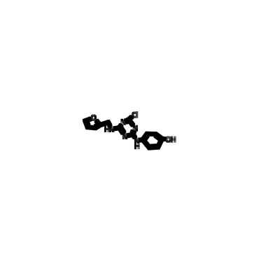 Oc1ccc(Nc2nc(Cl)nc(NCc3ccco3)n2)cc1